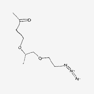 CC(=O)CCOC(C)COCCN=[N+]=[N-]